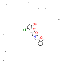 CCOC(=O)C(Cc1cc(O)ccc1Cl)CN1CCC2(CC1)OC(C)c1ccccc12